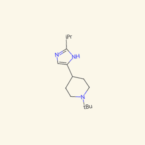 CC(C)c1ncc(C2CCN(C(C)(C)C)CC2)[nH]1